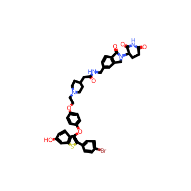 O=C(CC1CCN(CCOc2ccc(Oc3c(-c4ccc(Br)cc4)sc4cc(O)ccc34)cc2)CC1)NCc1ccc2c(c1)CN(C1CCC(=O)NC1=O)C2=O